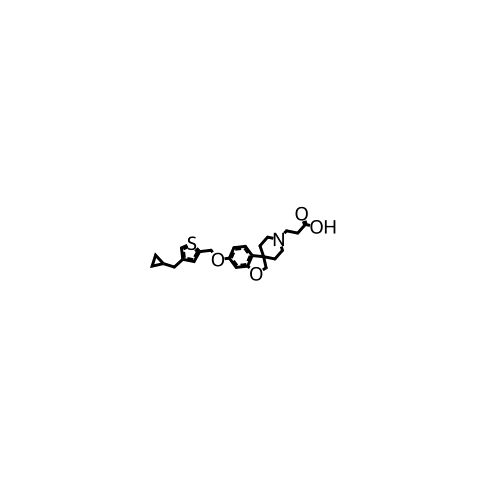 O=C(O)CCN1CCC2(CC1)COc1cc(OCc3cc(CC4CC4)cs3)ccc12